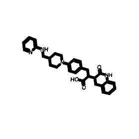 O=C(O)C(Cc1ccc(N2CCC(CNc3ccccn3)CC2)cc1)C1Cc2ccccc2NC1=O